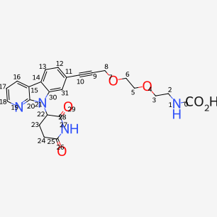 O=C(O)NCCOCCOCC#Cc1ccc2c3cccnc3n(C3CCC(=O)NC3=O)c2c1